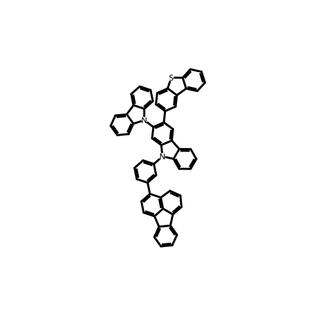 c1cc(-c2ccc3c4c(cccc24)-c2ccccc2-3)cc(-n2c3ccccc3c3cc(-c4ccc5sc6ccccc6c5c4)c(-n4c5ccccc5c5ccccc54)cc32)c1